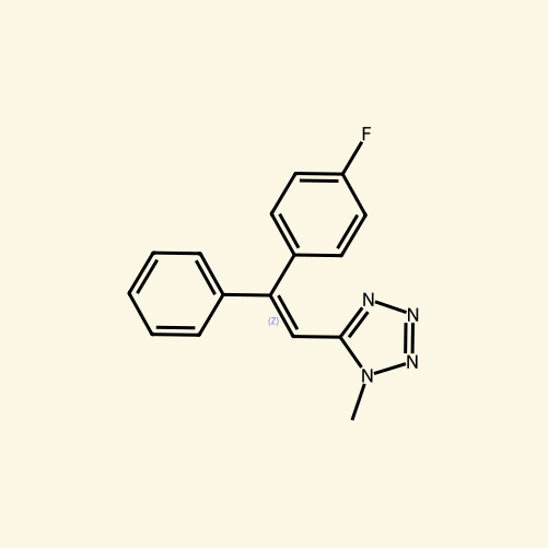 Cn1nnnc1/C=C(/c1ccccc1)c1ccc(F)cc1